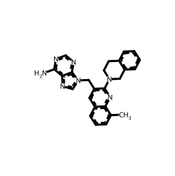 Cc1cccc2cc(Cn3cnc4c(N)ncnc43)c(N3CCc4ccccc4C3)nc12